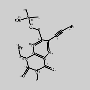 CCCC#Cc1nc2c(=O)n(C)c(=O)n(CC(C)C)c2nc1CO[Si](C)(C)C(C)(C)C